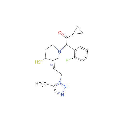 O=C(O)c1cnnn1C/C=C1\CN(C(C(=O)C2CC2)c2ccccc2F)CCC1S